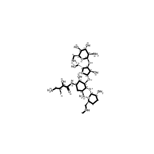 CNC[C@@H]1CC[C@@H](N)[C@@H](O[C@H]2[C@H](O[C@@H]3O[C@H](CO)[C@@H](O[C@H]4O[C@@H](CN)[C@@H](O)[C@H](O)[C@H]4N)[C@H]3O)[C@@H](O)[C@H](NC(=O)C(O)[C@@H](F)CN)C[C@@H]2N)O1